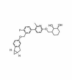 Cc1nc(OCC2CCC[C@H](O)[C@@H]2O)ccc1-c1ccc(F)c(COc2ccc3c(c2)C[C@H]2C[C@@H]32)c1